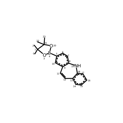 CC1(C)OB(c2ccc3c(c2)C=Cc2ccccc2N3)OC1(C)C